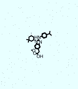 COc1cc2c(cc1CC(=O)O)nc(Nc1ccc(C(C)C)cc1)n2[C@@H]1C[C@@H](C)CC(C)(C)C1